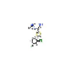 N=C/C(=C1\SC[C@H](c2ccc(Cl)cc2Cl)S1)n1ccnc1